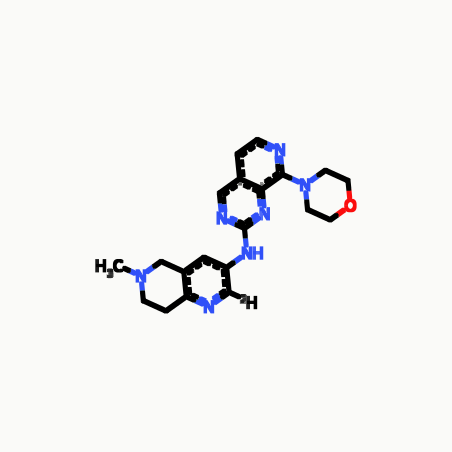 [2H]c1nc2c(cc1Nc1ncc3ccnc(N4CCOCC4)c3n1)CN(C)CC2